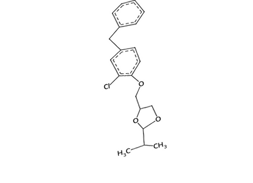 CC(C)C1OCC(COc2ccc(Cc3ccccc3)cc2Cl)O1